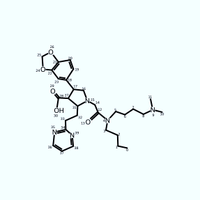 CCCCN(CCCCN(C)C)C(=O)CN1CC(c2ccc3c(c2)OCO3)C(C(=O)O)C1CCc1ncccn1